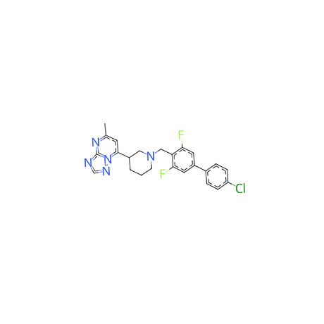 Cc1cc(C2CCCN(Cc3c(F)cc(-c4ccc(Cl)cc4)cc3F)C2)n2ncnc2n1